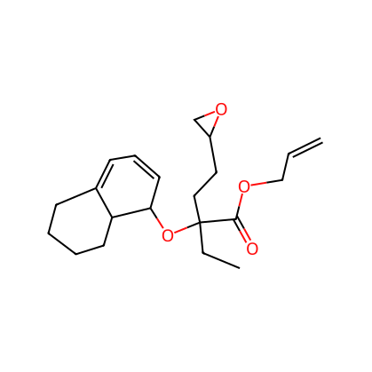 C=CCOC(=O)C(CC)(CCC1CO1)OC1C=CC=C2CCCCC21